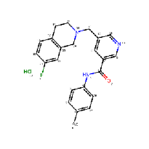 CC(=O)c1ccc(NC(=O)c2cncc(CN3CCc4ccc(F)cc4C3)c2)cc1.Cl